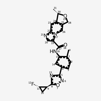 Cc1ccc(-c2noc([C@H]3C[C@@H]3F)n2)cc1NC(=O)c1cnc2cc3c(cn12)CO[C@H]3C